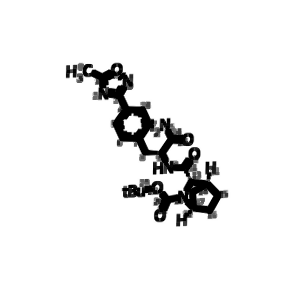 Cc1nc(-c2ccc(C[C@H](NC(=O)[C@@H]3[C@H]4CC[C@H](C4)N3C(=O)OC(C)(C)C)C(N)=O)cc2)no1